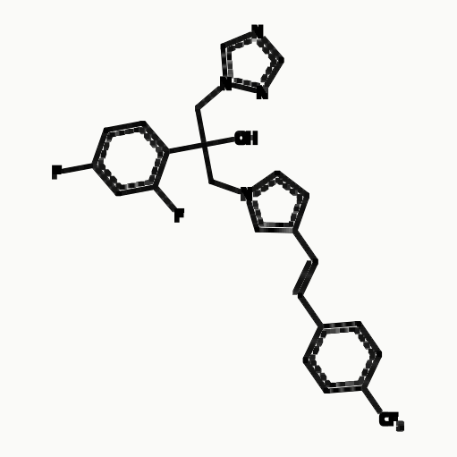 OC(Cn1ccc(C=Cc2ccc(C(F)(F)F)cc2)c1)(Cn1cncn1)c1ccc(F)cc1F